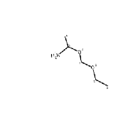 CCOCOC(C)N